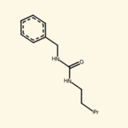 CC(C)CCNC(=O)NCc1ccccc1